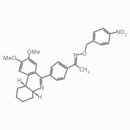 COc1cc2c(cc1OC)[C@H]1CCCC[C@H]1N=C2c1ccc(C(C)=NOCc2ccc([N+](=O)[O-])cc2)cc1